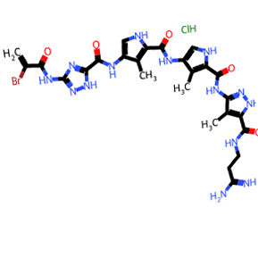 C=C(Br)C(=O)Nc1n[nH]c(C(=O)Nc2c[nH]c(C(=O)Nc3c[nH]c(C(=O)Nc4n[nH]c(C(=O)NCCC(=N)N)c4C)c3C)c2C)n1.Cl